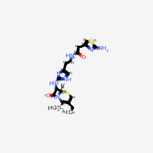 CC(=O)OCC1=C(C(=O)O)N2C(=O)C(Nc3nc(CCNC(=O)Cc4csc(N)n4)c[nH]3)[C@H]2SC1